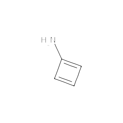 NC1=CC=C1